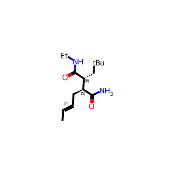 C/C=C/C[C@H](C(N)=O)[C@@H](CC(C)(C)C)C(=O)NCC